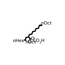 CCCCCCCCC=CCCCCCCC(CC(CCCCCC)CCCCCCCC)C(=O)OC(=O)O